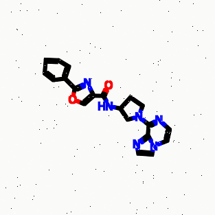 O=C(NC1CCN(c2nccn3ccnc23)C1)c1coc(-c2ccccc2)n1